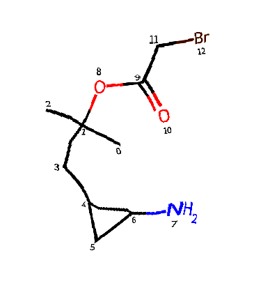 CC(C)(CC1CC1N)OC(=O)CBr